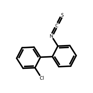 S=C=Nc1ccccc1-c1ccccc1Cl